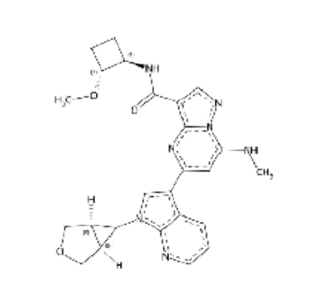 CNc1cc(-c2cn(C3[C@H]4COC[C@@H]34)c3ncccc23)nc2c(C(=O)N[C@@H]3CC[C@H]3OC)cnn12